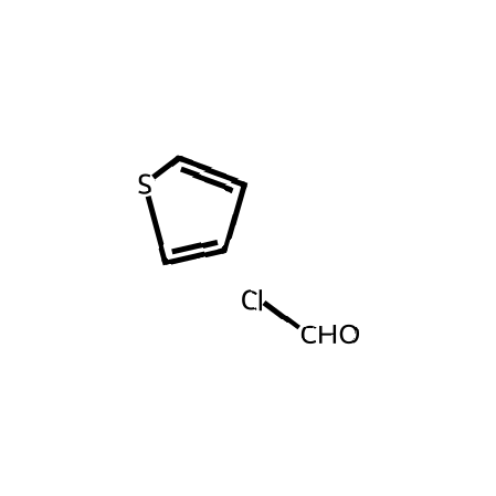 O=CCl.c1ccsc1